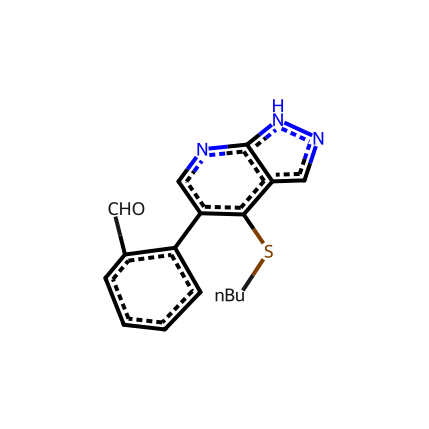 CCCCSc1c(-c2ccccc2C=O)cnc2[nH]ncc12